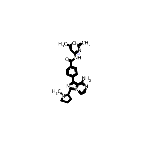 C=C/N=C(\C=C(C)C)NC(=O)c1ccc(-c2nc(C3CCCN3C)n3ccnc(N)c23)cc1